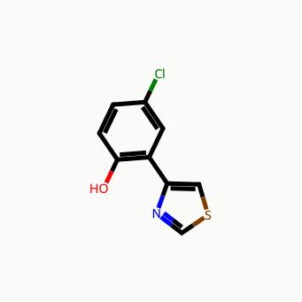 Oc1ccc(Cl)cc1-c1cscn1